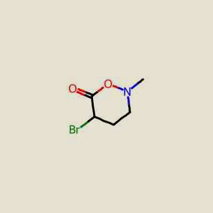 CN1CCC(Br)C(=O)O1